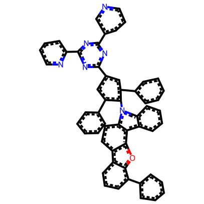 c1ccc(-c2cc(-c3nc(-c4cccnc4)nc(-c4ccccn4)n3)cc(-c3ccccc3)c2-n2c3ccccc3c3c4oc5c(-c6ccccc6)cccc5c4ccc32)cc1